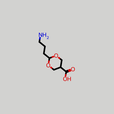 NCCCC1OCC(C(=O)O)CO1